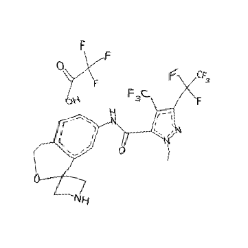 Cn1nc(C(F)(F)C(F)(F)F)c(C(F)(F)F)c1C(=O)Nc1ccc2c(c1)C1(CNC1)OC2.O=C(O)C(F)(F)F